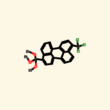 CCO[Si](OCC)(OCC)c1ccc2c3cccc4c([Si](Cl)(Cl)Cl)ccc(c5cccc1c52)c43